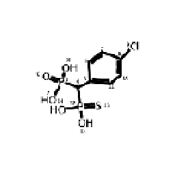 O=P(O)(O)C(c1ccc(Cl)cc1)P(O)(O)=S